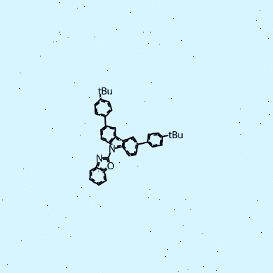 CC(C)(C)c1ccc(-c2ccc3c(c2)c2cc(-c4ccc(C(C)(C)C)cc4)ccc2n3-c2nc3ccccc3o2)cc1